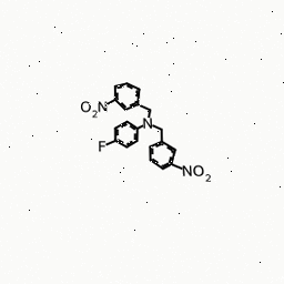 O=[N+]([O-])c1cccc(CN(Cc2cccc([N+](=O)[O-])c2)c2ccc(F)cc2)c1